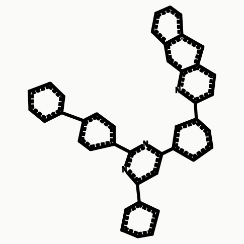 c1ccc(-c2ccc(-c3nc(-c4ccccc4)cc(-c4cccc(-c5ccc6cc7ccccc7cc6n5)c4)n3)cc2)cc1